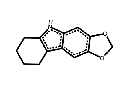 [C]1CCc2[nH]c3cc4c(cc3c2C1)OCO4